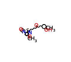 COc1ccc(N2CCOCC2)c2sc(CCCCC(=O)CCC3CCCC(C)(O)CC3)nc12